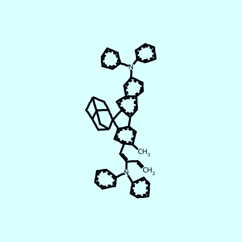 C=C/C(=C\c1cc2c(cc1C)-c1cc3ccc(N(c4ccccc4)c4ccccc4)cc3cc1C21C2CC3CC(C2)CC1C3)N(c1ccccc1)c1ccccc1